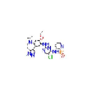 CCOc1cc2c(cc1Nc1ncc(Cl)c(Nc3cccnc3P(C)(C)=O)n1)-c1cnn(C)c1CCN2C(C)C